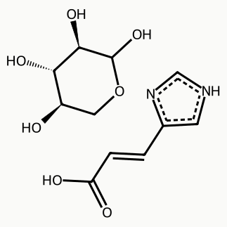 O=C(O)/C=C/c1c[nH]cn1.OC1OC[C@@H](O)[C@H](O)[C@H]1O